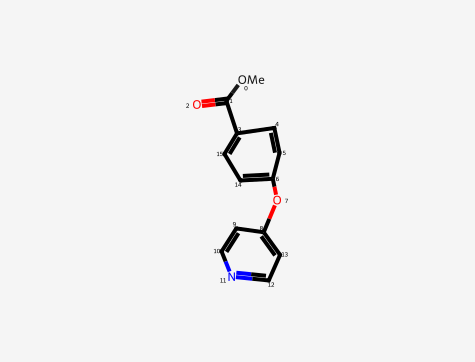 COC(=O)c1ccc(Oc2ccncc2)cc1